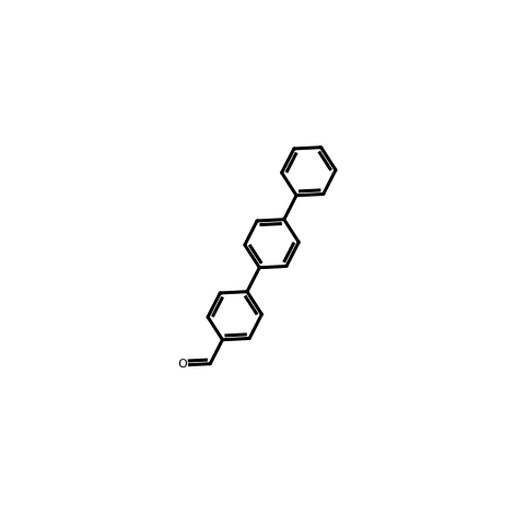 O=Cc1ccc(-c2ccc(-c3ccccc3)cc2)cc1